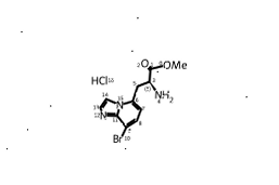 COC(=O)[C@@H](N)Cc1ccc(Br)c2nccn12.Cl